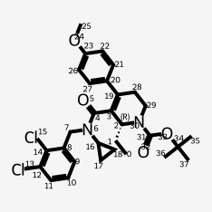 CC[C@@H]1C(C(=O)N(Cc2cccc(Cl)c2Cl)C2CC2)=C(c2ccc(OC)cc2)CCN1C(=O)OC(C)(C)C